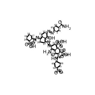 NC(=O)c1ccc(N=Nc2ccc3c(N=Nc4ccccc4S(=O)(=O)O)ccc(N=Nc4cc(S(=O)(=O)O)c5cc(S(=O)(=O)O)c(N=Nc6ccc([N+](=O)[O-])cc6)c(O)c5c4N)c3c2O)cc1